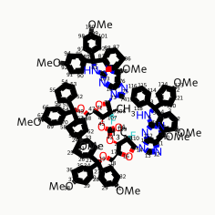 COc1ccc(C(Nc2nc(OC)c3ncn([C@@H]4O[C@@H](COC(c5ccccc5)(c5ccc(OC)cc5)c5ccc(OC)cc5)[C@@H](OC(=O)O[C@@H]5[C@H](COC(c6ccccc6)(c6ccc(OC)cc6)c6ccc(OC)cc6)O[C@@H](n6cnc7c(OC)nc(NC(c8ccccc8)(c8ccc(OC)cc8)c8ccc(OC)cc8)nc76)[C@]5(C)F)[C@@]4(C)F)c3n2)(c2ccccc2)c2ccc(OC)cc2)cc1